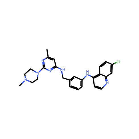 Cc1cc(NCc2cccc(Nc3ccnc4cc(Cl)ccc34)c2)nc(N2CCN(C)CC2)n1